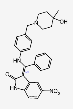 CC1(O)CCN(Cc2ccc(N/C(=C3\C(=O)Nc4ccc([N+](=O)[O-])cc43)c3ccccc3)cc2)CC1